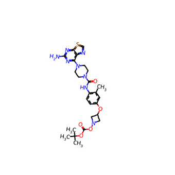 Cc1cc(OC2CN(OC(=O)OC(C)(C)C)C2)ccc1NC(=O)N1CCN(c2nc(N)nc3scnc23)CC1